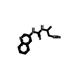 COCC(C)NC(=S)Nc1cnc2ccccc2c1